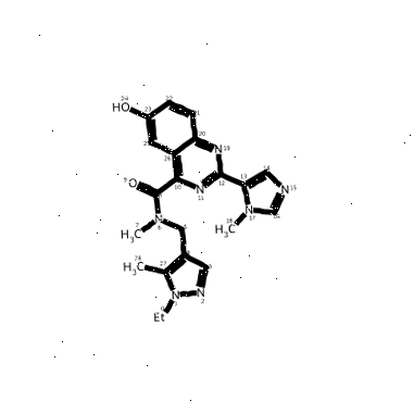 CCn1ncc(CN(C)C(=O)c2nc(-c3cncn3C)nc3ccc(O)cc23)c1C